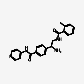 Cc1ccccc1C(=O)NCC(N)c1ccc(C(=O)Nc2ccncc2)cc1